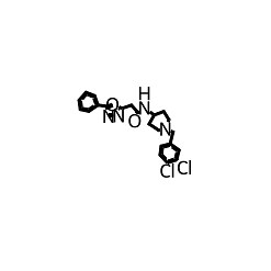 O=C(Cc1nnc(-c2ccccc2)o1)NC1CCN(Cc2ccc(Cl)c(Cl)c2)CC1